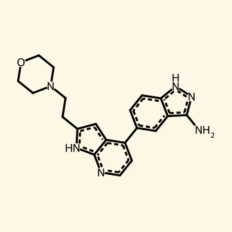 Nc1n[nH]c2ccc(-c3ccnc4[nH]c(CCN5CCOCC5)cc34)cc12